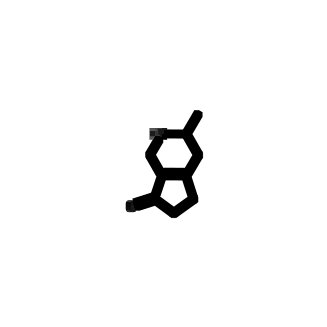 CC1CC2=C(CN1)C(=O)CC2